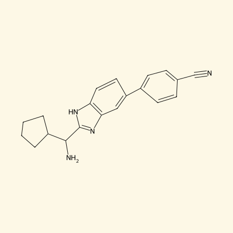 N#Cc1ccc(-c2ccc3[nH]c(C(N)C4CCCC4)nc3c2)cc1